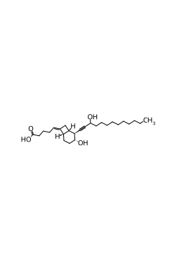 CCCCCCCCCCC(O)C#C[C@@H]1[C@H]2C/C(=C/CCCC(=O)O)[C@H]2CC[C@H]1O